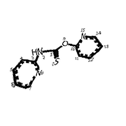 S=C(Nc1ccccn1)Oc1ccccn1